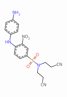 N#CCCN(CCC#N)S(=O)(=O)c1ccc(Nc2ccc(N)cc2)c([N+](=O)[O-])c1